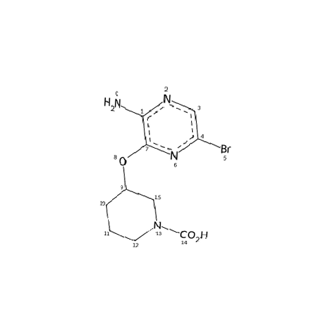 Nc1ncc(Br)nc1OC1CCCN(C(=O)O)C1